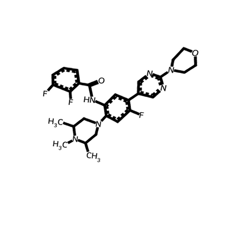 CC1CN(c2cc(F)c(-c3cnc(N4CCOCC4)nc3)cc2NC(=O)c2cccc(F)c2F)CC(C)N1C